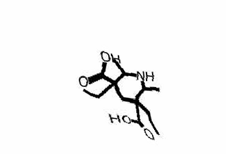 CCC1(C(=O)O)CC(CC)(C(=O)O)C(C)NC1C